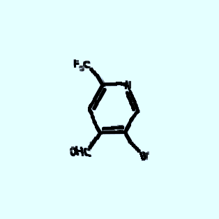 O=Cc1cc(C(F)(F)F)ncc1Br